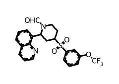 O=CN1CCC(S(=O)(=O)c2cccc(OC(F)(F)F)c2)CC1c1cccc2cccnc12